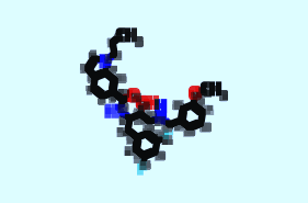 CCCn1ccc2ccc(C(=O)NC(Cc3cc(F)cc(F)c3)[C@@H](O)CNCc3cccc(OC)c3)cc21